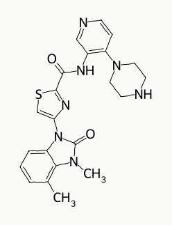 Cc1cccc2c1n(C)c(=O)n2-c1csc(C(=O)Nc2cnccc2N2CCNCC2)n1